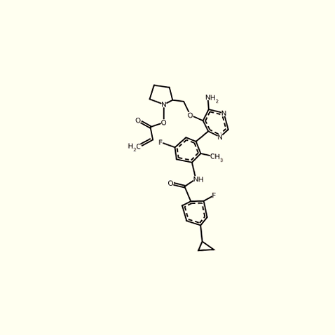 C=CC(=O)ON1CCCC1COc1c(N)ncnc1-c1cc(F)cc(NC(=O)c2ccc(C3CC3)cc2F)c1C